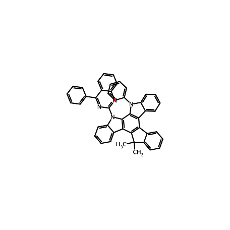 CC1(C)c2ccccc2-c2c1c1c3ccccc3n(-c3nc(-c4ccccc4)c4ccccc4n3)c1c1c2c2ccccc2n1-c1ccccc1